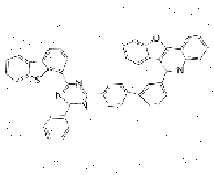 c1ccc(-c2nc(-c3ccc(-c4cccc(-c5nc6ccccc6c6oc7ccccc7c56)c4)cc3)nc(-c3cccc4c3sc3ccccc34)n2)cc1